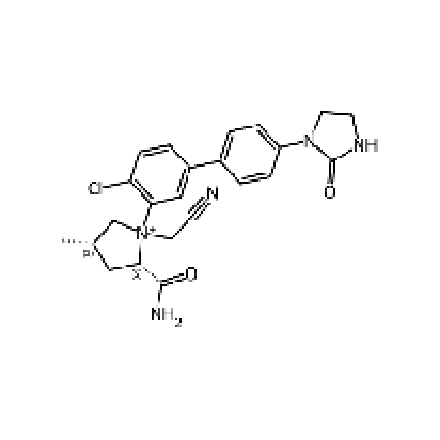 C[C@H]1C[C@@H](C(N)=O)[N+](CC#N)(c2cc(-c3ccc(N4CCNC4=O)cc3)ccc2Cl)C1